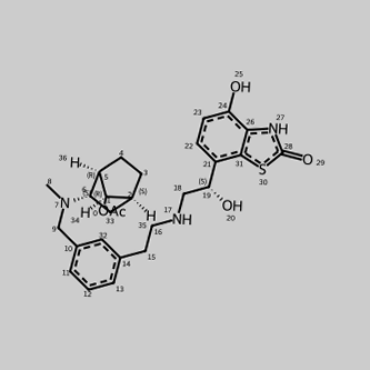 CC(=O)O[C@@H]1[C@H]2CC[C@@H]1[C@@H](N(C)Cc1cccc(CCNC[C@@H](O)c3ccc(O)c4[nH]c(=O)sc34)c1)C2